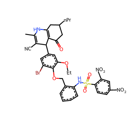 CCCC1CC(=O)C2=C(C1)NC(C)=C(C#N)C2c1cc(Br)c(OCc2ccccc2NS(=O)(=O)c2ccc([N+](=O)[O-])cc2[N+](=O)[O-])c(OCC)c1